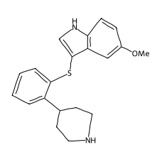 COc1ccc2[nH]cc(Sc3ccccc3C3CCNCC3)c2c1